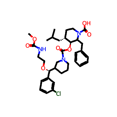 COC(=O)NCCO[C@@H](c1cccc(Cl)c1)C1CCCN(C(=O)O[C@@H]2C(Cc3ccccc3)N(C(=O)O)CC[C@H]2CC(C)C)C1